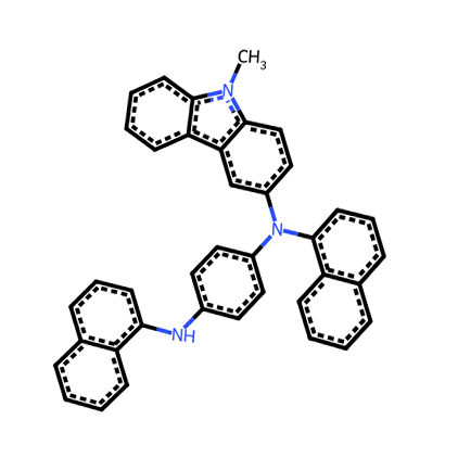 Cn1c2ccccc2c2cc(N(c3ccc(Nc4cccc5ccccc45)cc3)c3cccc4ccccc34)ccc21